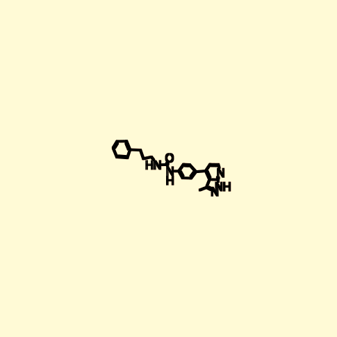 Cc1n[nH]c2nccc(-c3ccc(NC(=O)NCCCc4ccccc4)cc3)c12